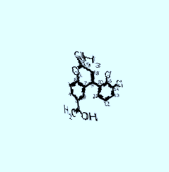 C=C(O)c1ccc2c(c1)C(c1cccc(Cl)c1Cl)=CC(C)O2